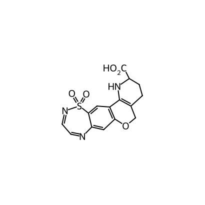 O=C(O)C1CCC2=C(N1)c1cc3c(cc1OC2)N=CC=NS3(=O)=O